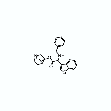 O=C(OC1CN2CCC1CC2)C(NCc1ccccc1)c1csc2ccccc12